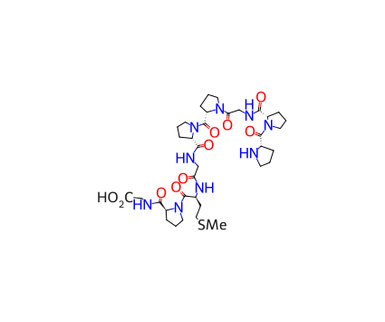 CSCC[C@H](NC(=O)CNC(=O)[C@@H]1CCCN1C(=O)[C@@H]1CCCN1C(=O)CNC(=O)[C@@H]1CCCN1C(=O)[C@@H]1CCCN1)C(=O)N1CCC[C@H]1C(=O)NCC(=O)O